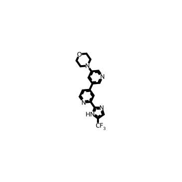 FC(F)(F)c1cnc(-c2cc(-c3cncc(N4CCOCC4)c3)ccn2)[nH]1